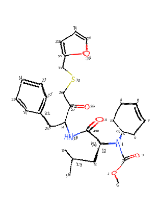 COC(=O)N([C@@H]1CC=CCC1)[C@@H](CC(C)C)C(=O)NC(Cc1ccccc1)C(=O)CSCc1ccco1